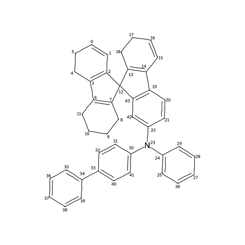 C1=CC2=C(CC1)C1=C(CCCC1)C21C2=C(C=CCC2)c2ccc(N(c3ccccc3)c3ccc(-c4ccccc4)cc3)cc21